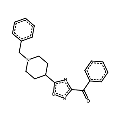 O=C(c1ccccc1)c1noc(C2CCN(Cc3ccccc3)CC2)n1